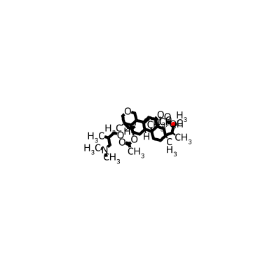 CC(=O)O[C@@H]1C[C@@]23COC[C@@](C)([C@@H]2CC[C@H]2C3=CC(=O)[C@@]3(C)[C@H](C(=O)O)[C@@](C)([C@H](C)C(C)C)CC[C@]23C)[C@H]1OCC(C)CN(C)C